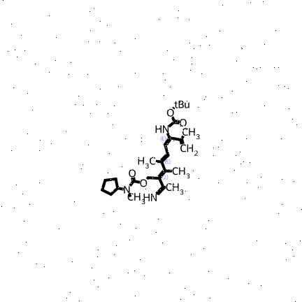 C=C(C)\C(=C/C=C(C)/C(C)=C(\COC(=O)N(C)C1CCCC1)C(C)=N)NC(=O)OC(C)(C)C